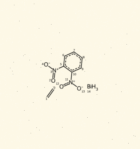 C=C.O=[N+]([O-])c1ccccc1[N+](=O)[O-].[BiH3]